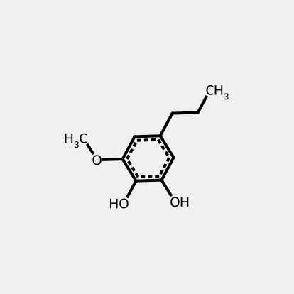 CCCc1cc(O)c(O)c(OC)c1